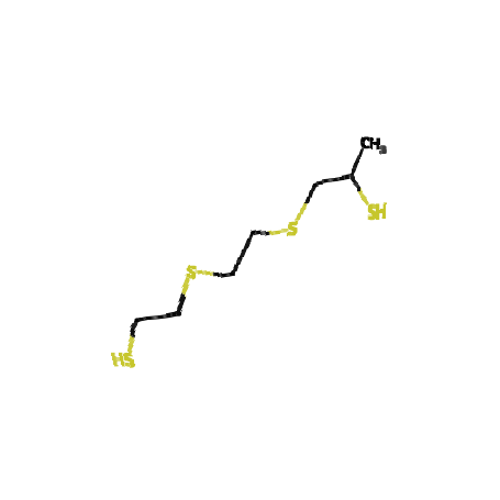 CC(S)CSCCSCCS